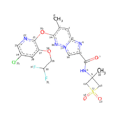 Cc1cc2nc(C(=O)NC3(C)CS(=O)(=O)C3)cn2nc1Oc1ncc(Cl)cc1OCC(F)F